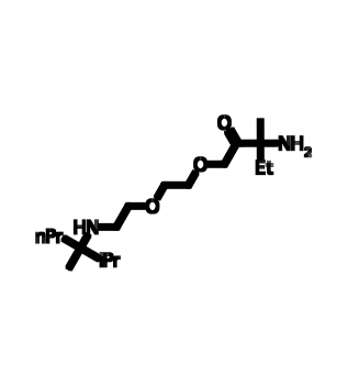 CCCC(C)(NCCOCCOCC(=O)C(C)(N)CC)C(C)C